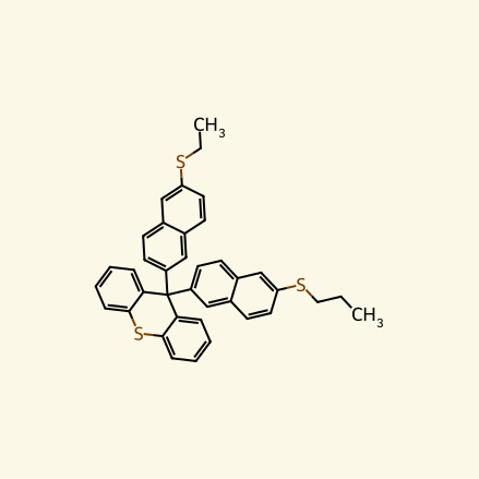 CCCSc1ccc2cc(C3(c4ccc5cc(SCC)ccc5c4)c4ccccc4Sc4ccccc43)ccc2c1